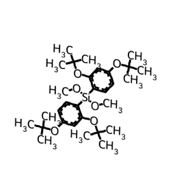 CO[Si](OC)(c1ccc(OC(C)(C)C)cc1OC(C)(C)C)c1ccc(OC(C)(C)C)cc1OC(C)(C)C